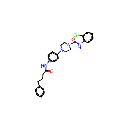 O=C(CCCc1ccccc1)Nc1ccc(N2CCN(C(=O)Nc3ccccc3Cl)CC2)cc1